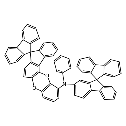 c1ccc(N(c2ccc3c(c2)C2(c4ccccc4-c4ccccc42)c2ccccc2-3)c2cccc3c2Oc2c(ccc4c2-c2ccccc2C42c4ccccc4-c4ccccc42)O3)cc1